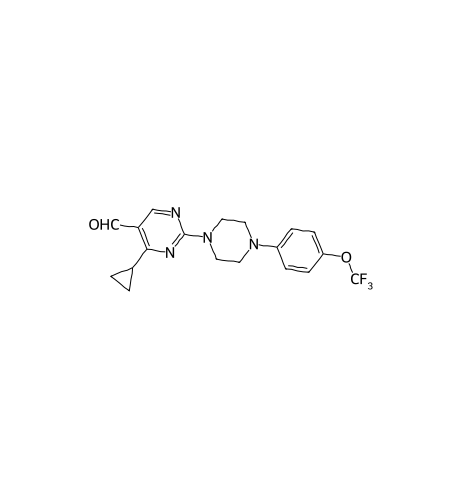 O=Cc1cnc(N2CCN(c3ccc(OC(F)(F)F)cc3)CC2)nc1C1CC1